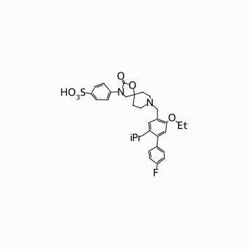 CCOc1cc(-c2ccc(F)cc2)c(C(C)C)cc1CN1CCC2(CC1)CN(c1ccc(S(=O)(=O)O)cc1)C(=O)O2